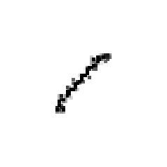 O=C=NC=CCCCCCCCN=C=O